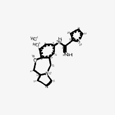 Cl.Cl.N=C(Nc1ccc2c(c1)CN1CCCC1CO2)c1cccs1